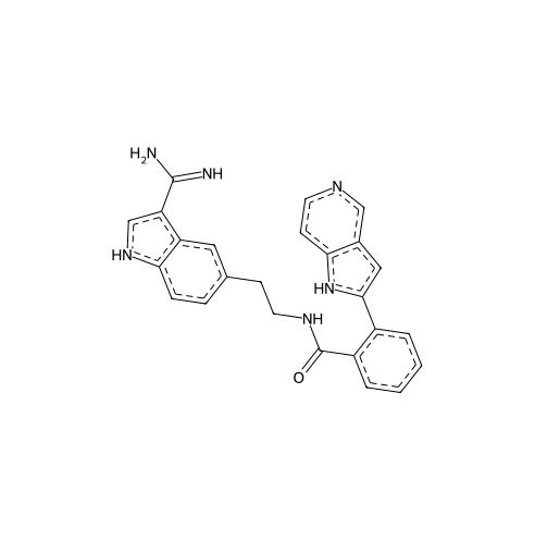 N=C(N)c1c[nH]c2ccc(CCNC(=O)c3ccccc3-c3cc4cnccc4[nH]3)cc12